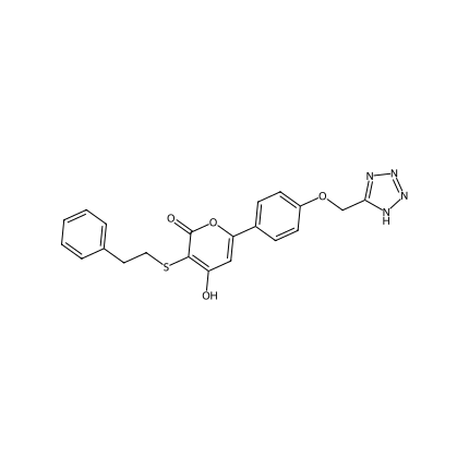 O=c1oc(-c2ccc(OCc3nnn[nH]3)cc2)cc(O)c1SCCc1ccccc1